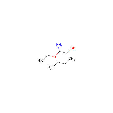 CCCC.CCOC(N)CO